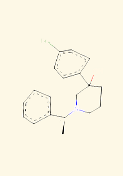 C[C@@H](c1ccccc1)N1CCCC(O)(c2ccc(Br)cc2)C1